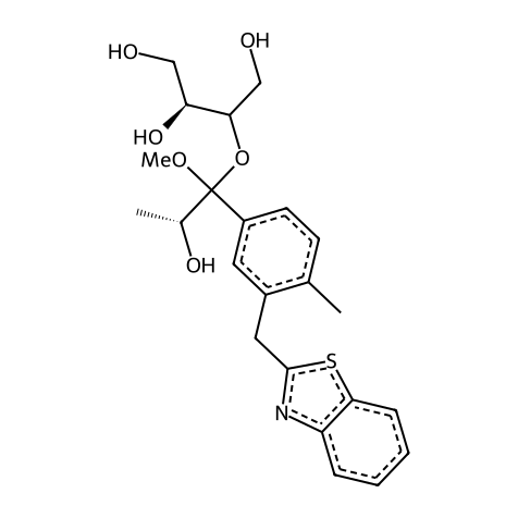 COC(OC(CO)[C@@H](O)CO)(c1ccc(C)c(Cc2nc3ccccc3s2)c1)[C@@H](C)O